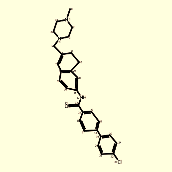 CN1CCN(CC2=Cc3ccc(NC(=O)c4ccc(-c5ccc(Cl)cc5)cc4)cc3CC2)CC1